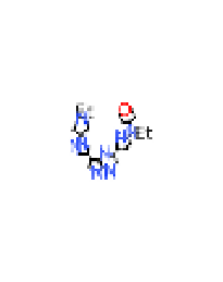 CCN1CCC(n2cc(-c3c[nH]c4ncc(-c5ccc(N(CC)C6CCOCC6)nc5)nc34)cn2)CC1